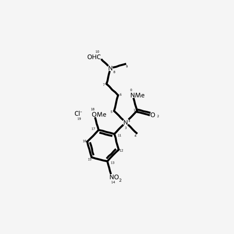 CNC(=O)[N+](C)(CCCN(C)C=O)c1cc([N+](=O)[O-])ccc1OC.[Cl-]